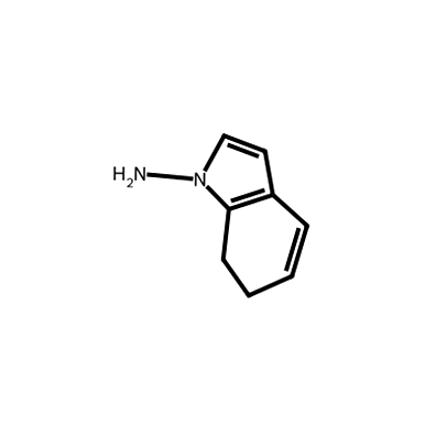 Nn1ccc2c1CCC=C2